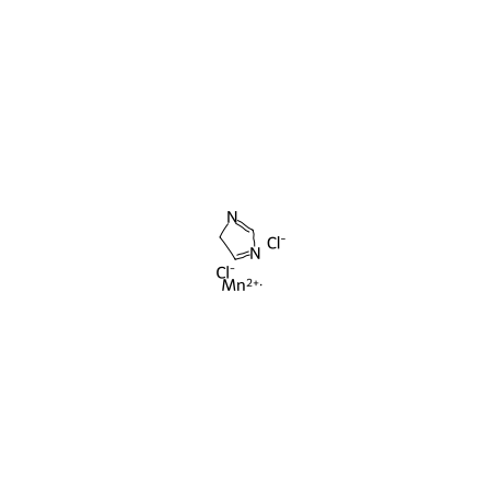 C1=NC=NC1.[Cl-].[Cl-].[Mn+2]